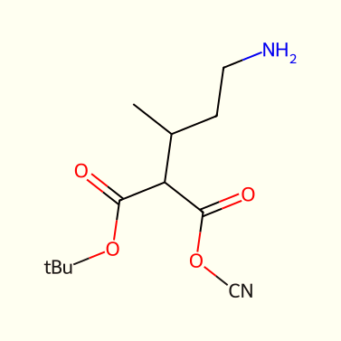 CC(CCN)C(C(=O)OC#N)C(=O)OC(C)(C)C